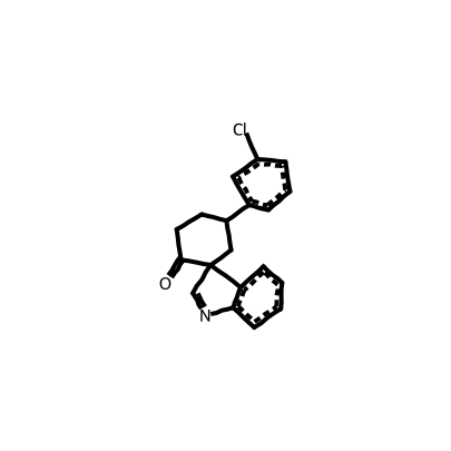 O=C1CCC(c2cccc(Cl)c2)CC12C=Nc1ccccc12